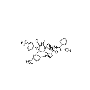 Cc1c(-c2c(S(=O)(=O)N[C@H](CO)c3ccccc3)cnn2-c2ccc(C#N)cc2)c(=O)n(C)c(=O)n1-c1cccc(C(F)(F)F)c1